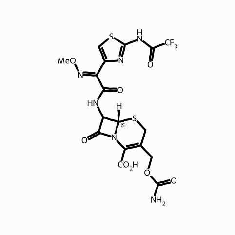 CON=C(C(=O)NC1C(=O)N2C(C(=O)O)=C(COC(N)=O)CS[C@@H]12)c1csc(NC(=O)C(F)(F)F)n1